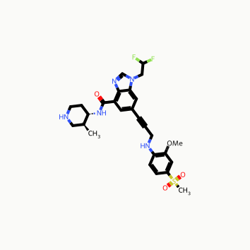 COc1cc(S(C)(=O)=O)ccc1NCC#Cc1cc(C(=O)N[C@H]2CCNC[C@@H]2C)c2ncn(CC(F)F)c2c1